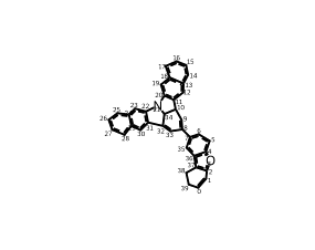 C1=Cc2oc3ccc(C4=CC5c6cc7ccccc7cc6N6c7cc8ccccc8cc7C(=C4)C56)cc3c2CC1